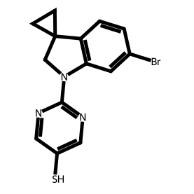 Sc1cnc(N2CC3(CC3)c3ccc(Br)cc32)nc1